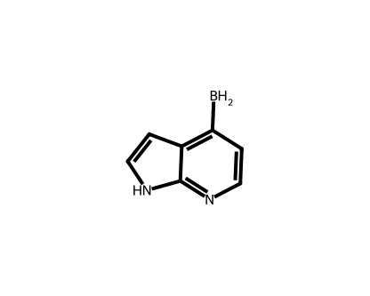 Bc1ccnc2[nH]ccc12